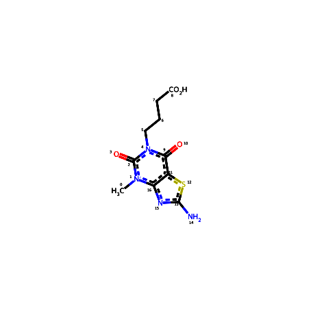 Cn1c(=O)n(CCCC(=O)O)c(=O)c2sc(N)nc21